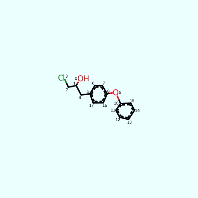 OC(CCl)Cc1ccc(Oc2ccccc2)cc1